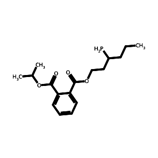 CCCC(P)CCOC(=O)c1ccccc1C(=O)OC(C)C